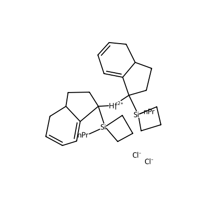 CCC[Si]1([C]2([Hf+2][C]3([Si]4(CCC)CCC4)CCC4CC=CC=C43)CCC3CC=CC=C32)CCC1.[Cl-].[Cl-]